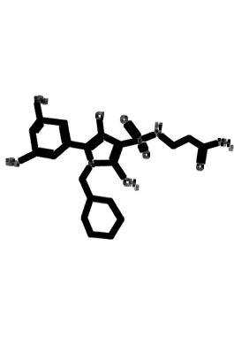 Cc1c(S(=O)(=O)NCCC(N)=O)c(Cl)c(-c2cc(C(C)(C)C)cc(C(C)(C)C)c2)n1CC1CCCCC1